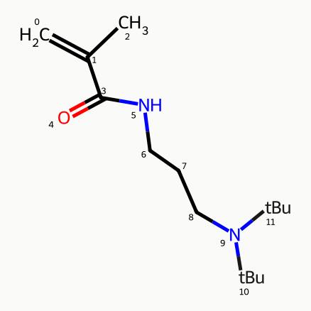 C=C(C)C(=O)NCCCN(C(C)(C)C)C(C)(C)C